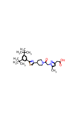 Cc1cc(CC(=O)O)nn1CC(=O)N1CCC(c2csc(-c3cc(C(C)(C)C)cc(C(C)(C)C)c3)n2)CC1